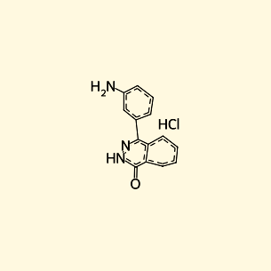 Cl.Nc1cccc(-c2n[nH]c(=O)c3ccccc23)c1